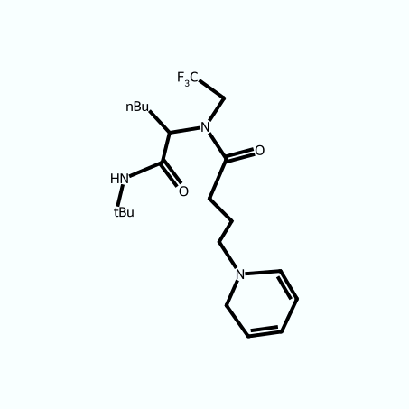 CCCCC(C(=O)NC(C)(C)C)N(CC(F)(F)F)C(=O)CCCN1C=CC=CC1